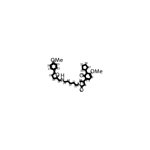 COC1=CC=C(C2CC(=O)N(CCCCCNCC3CCC(c4ccc(OC)cc4)O3)C2)C(=O)C1C1CCCC1